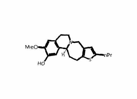 CCCc1cc2c(s1)CC[C@H]1c3cc(O)c(OC)cc3CCN1C2